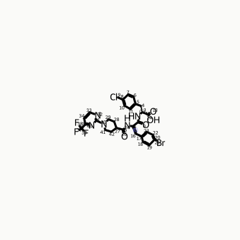 O=C(N[C@@H](Cc1ccc(Cl)cc1)C(=O)O)/C(=C\c1ccc(Br)cc1)NC(=O)C1CCN(c2nccc(C(F)(F)F)n2)CC1